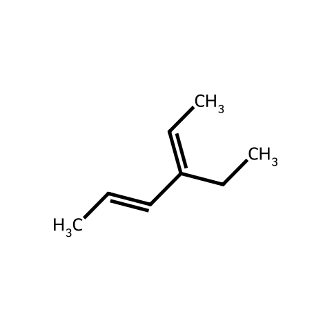 CC=CC(=CC)CC